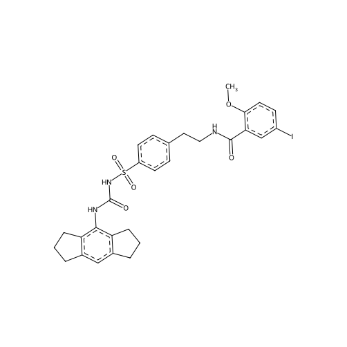 COc1ccc(I)cc1C(=O)NCCc1ccc(S(=O)(=O)NC(=O)Nc2c3c(cc4c2CCC4)CCC3)cc1